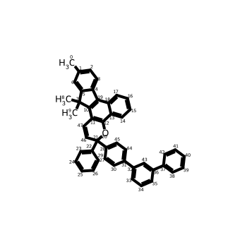 Cc1ccc2c(c1)C(C)(C)c1c3c(c4ccccc4c1-2)OC(c1ccccc1)(c1ccc(-c2cccc(-c4ccccc4)c2)cc1)C=C3